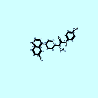 C[C@@H](C(=O)Nc1ccc(S)cc1)[C@H]1CC[C@H](c2ccnc3ccc(F)cc32)CC1